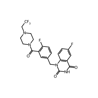 O=C(c1cc(Cn2c(=O)[nH]c(=O)c3cc(F)ccc32)ccc1F)N1CCN(CC(F)(F)F)CC1